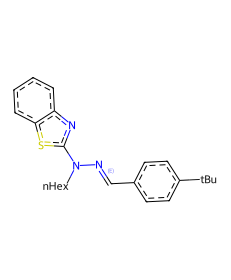 CCCCCCN(/N=C/c1ccc(C(C)(C)C)cc1)c1nc2ccccc2s1